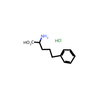 Cl.NC(CCCc1ccccc1)C(=O)O